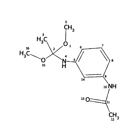 COC(C)(Nc1cccc(NC(C)=O)c1)OC